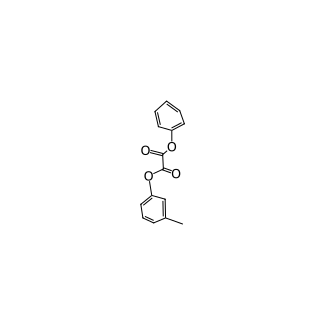 Cc1cccc(OC(=O)C(=O)Oc2ccccc2)c1